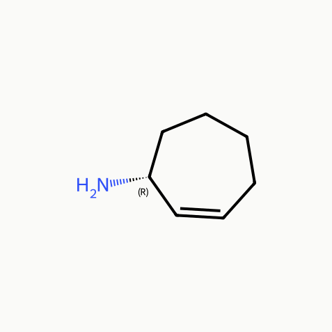 N[C@H]1C=CCCCC1